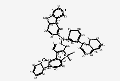 C[Si]1(C)C2=C(C=CC(N(C3=CC4c5ccccc5SC4C=C3)C3=CC(C4C=CC=C5C=CCCC54)=CCC3)C2)c2c1ccc1c2OC2C=CC=CC12